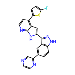 Fc1ccc(-c2ccnc3[nH]c(-c4n[nH]c5ccc(-c6cnccn6)cc45)cc23)s1